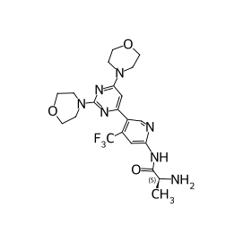 C[C@H](N)C(=O)Nc1cc(C(F)(F)F)c(-c2cc(N3CCOCC3)nc(N3CCOCC3)n2)cn1